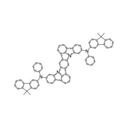 CC1(C)c2ccccc2-c2cc(N(c3ccccc3)c3ccc4c5cccc6c7cc8c(cc7n(c4c3)c56)c3cccc4c5ccc(N(c6ccccc6)c6ccc7c(c6)-c6ccccc6C7(C)C)cc5n8c43)ccc21